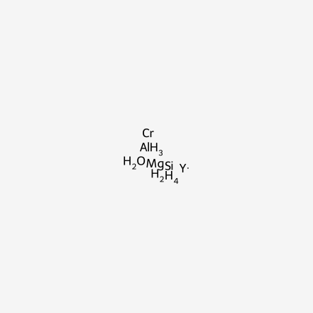 O.[AlH3].[Cr].[MgH2].[SiH4].[Y]